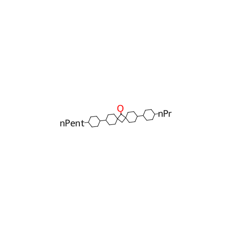 CCCCCC1CCC(C2CCC3(CC2)CC2(CCC(C4CCC(CCC)CC4)CC2)C3=O)CC1